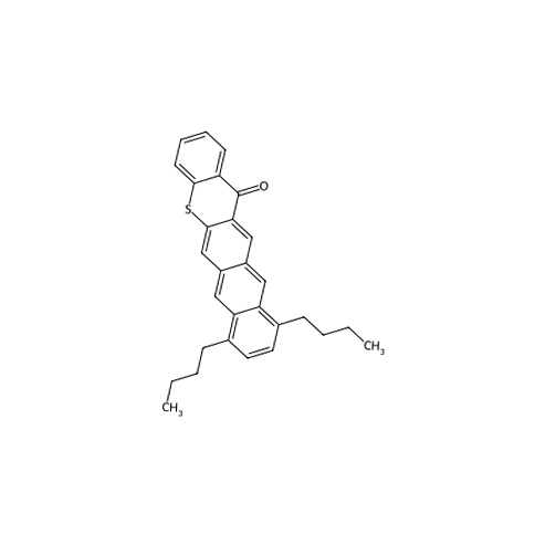 CCCCc1ccc(CCCC)c2cc3cc4c(=O)c5ccccc5sc4cc3cc12